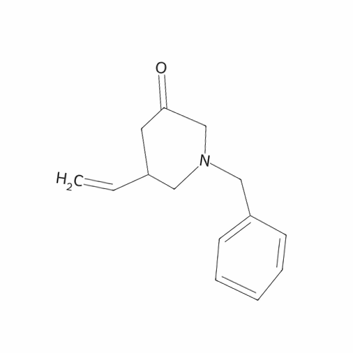 C=CC1CC(=O)CN(Cc2ccccc2)C1